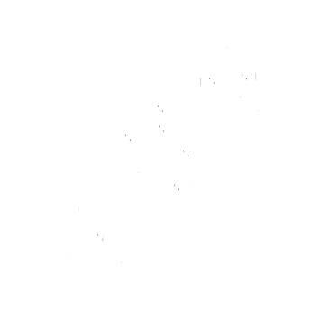 C[C@@H]1CN(C(=O)c2ccc(Nc3cc(NC4CC4)n4ncc(/C=C5\NC(=O)NC5=O)c4n3)c(F)c2)C[C@H](C)O1